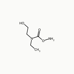 CCN(CCO)C(=O)ON